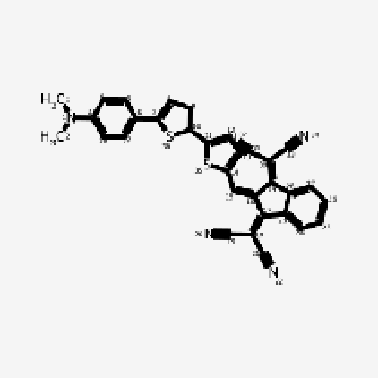 CN(C)c1ccc(C2=CCC(c3ccc(C=C4C(=C(C#N)C#N)c5ccccc5C4=C(C#N)C#N)s3)S2)cc1